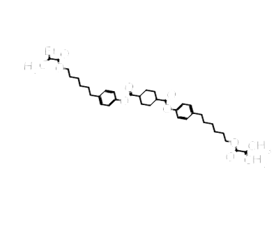 C=C(C)C(=O)OCCCCCCc1ccc(OC(=O)C2CCC(C(=O)Oc3ccc(CCCCCCOC(=O)C(=C)CC)cc3)CC2)cc1